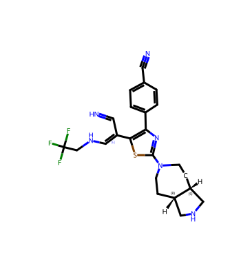 N#Cc1ccc(-c2nc(N3CC[C@@H]4CNC[C@@H]4CC3)sc2/C(C=N)=C/NCC(F)(F)F)cc1